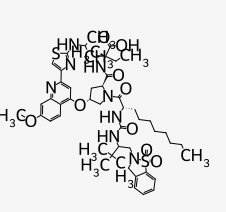 CCCCCCCC[C@H](NC(=O)NC(CN1Cc2ccccc2S1(=O)=O)C(C)(C)C)C(=O)N1C[C@H](Oc2cc(-c3csc(NC(C)C)n3)nc3cc(OC)ccc23)C[C@H]1C(=O)N[C@@](C)(CC)C(=O)O